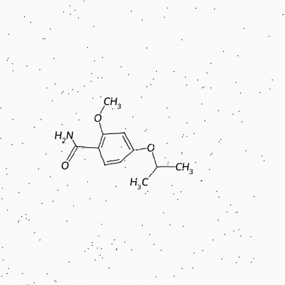 COc1cc(OC(C)C)ccc1C(N)=O